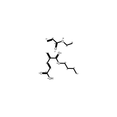 C=C(C=CC(=O)O)C(=O)OCCCC.C=CC(=O)OCC